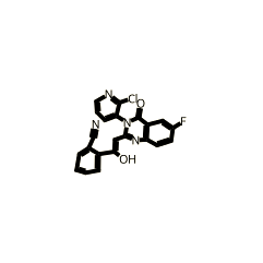 N#Cc1ccccc1C(O)=Cc1nc2ccc(F)cc2c(=O)n1-c1cccnc1Cl